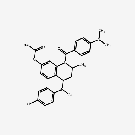 CC(=O)N(c1ccc(Cl)cc1)C1CC(C)N(C(=O)c2ccc(N(C)C)cc2)c2cc(OC(=O)C(C)(C)C)ccc21